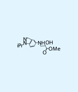 COC(=O)C(O)CNc1ccc2c(cnn2C(C)C)c1